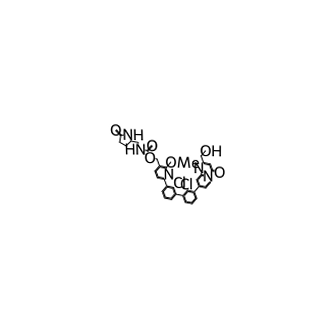 COc1nc(-c2cccc(-c3cccc(-c4ccn5c(=O)cc(CO)nc5c4)c3Cl)c2Cl)ccc1COC(=O)NCC1CCC(=O)N1